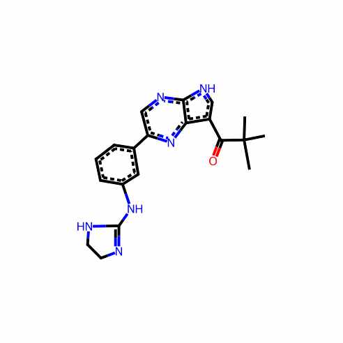 CC(C)(C)C(=O)c1c[nH]c2ncc(-c3cccc(NC4=NCCN4)c3)nc12